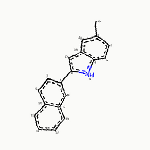 Cc1ccc2[nH]c(-c3ccc4ccccc4c3)cc2c1